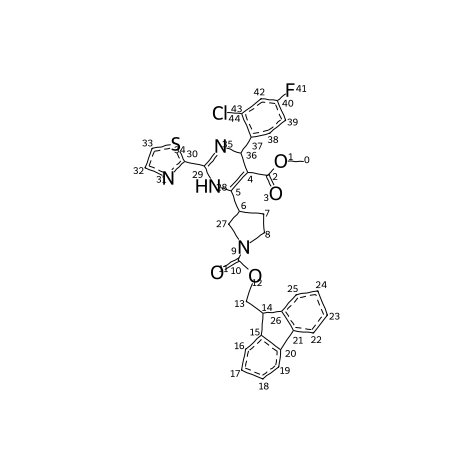 COC(=O)C1=C(C2CCN(C(=O)OCC3c4ccccc4-c4ccccc43)C2)NC(c2nccs2)=NC1c1ccc(F)cc1Cl